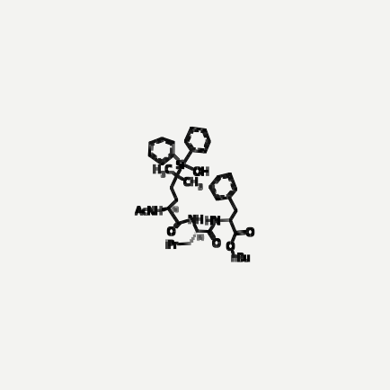 CCCCOC(=O)C(Cc1ccccc1)NC(=O)[C@H](CC(C)C)NC(=O)[C@H](CCC(C)(C)[Si](O)(c1ccccc1)c1ccccc1)NC(C)=O